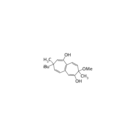 CCC(C)C1(C)C=CC2=C(C=CC(C)(OC)C(O)=C2)C(O)=C1